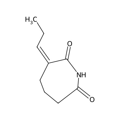 CCC=C1CCCC(=O)NC1=O